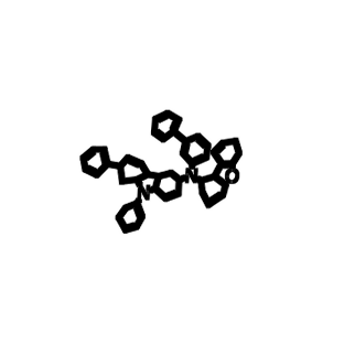 C1=CCCC(N2C3C=CC(N(c4cccc(-c5ccccc5)c4)C4CC=CC5OC6=C(C=CCC6)C54)CC3C3C=CC(c4ccccc4)CC32)=C1